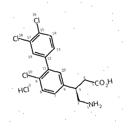 Cl.NC[C@H](CC(=O)O)c1ccc(Cl)c(-c2ccc(Cl)c(Cl)c2)c1